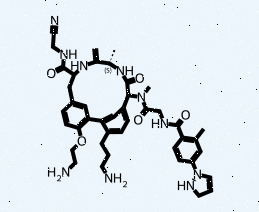 C=C1NC(C(=O)NCC#N)Cc2ccc(OCCN)c(c2)-c2cc(ccc2CCCN)C(N(C)C(=O)CNC(=O)c2ccc(N3C=CCN3)cc2C)C(=O)N[C@H]1C